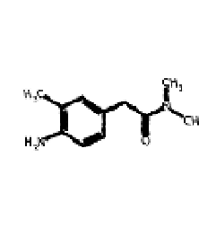 Cc1cc(CC(=O)N(C)C)ccc1N